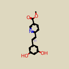 COC(=O)c1ccc(/C=C/c2cc(O)cc(O)c2)nc1